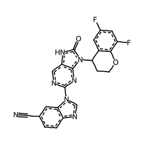 N#Cc1ccc2ncn(-c3ncc4[nH]c(=O)n(C5CCOc6c(F)cc(F)cc65)c4n3)c2c1